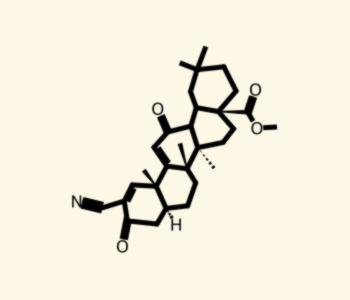 COC(=O)[C@]12CCC(C)(C)CC1C1C(=O)C=C3[C@@]4(C)C=C(C#N)C(=O)C[C@@H]4CC[C@@]3(C)[C@]1(C)CC2